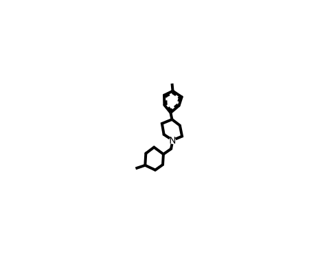 Cc1ccc(C2CCN(CC3CCC(C)CC3)CC2)cc1